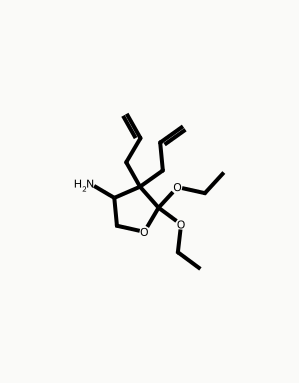 C=CCC1(CC=C)C(N)COC1(OCC)OCC